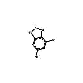 Nc1cc(Br)c2c(n1)NNN2